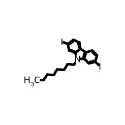 CCCCCCCCn1c2cc(I)ccc2c2ccc(I)cc21